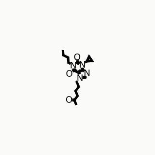 CCCCn1c(=O)c2c(ncn2CCCCC(C)=O)n(C2CC2)c1=O